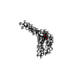 O=C(OC(F)(F)C(F)(F)OC(F)(F)C(F)(F)OC12C(F)(F)C3(F)C(F)(F)C(OC(F)(F)C(F)(F)OC(F)(F)C(F)(F)OC(=O)C(F)=C(F)F)(C1(F)F)C(F)(F)C(OC(F)(F)C(F)(F)OC(F)(F)C(F)(F)OC(=O)C(F)=C(F)F)(C3(F)F)C2(F)F)C(F)=C(F)F